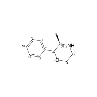 C[C@H]1NCCOC1c1ccccc1